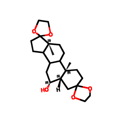 C[C@]12CCC3C(C[C@@H](O)[C@H]4CC5(CC[C@]34C)OCCO5)C1CCC21OCCO1